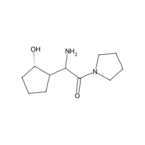 NC(C(=O)N1CCCC1)C1CCC[C@@H]1O